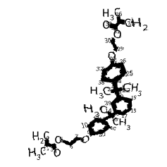 C=C(C)C(=O)OCCOc1ccc(C(C)(C)c2cccc(C(C)(C)c3ccc(OCCOC(=O)C(=C)C)cc3)c2)cc1